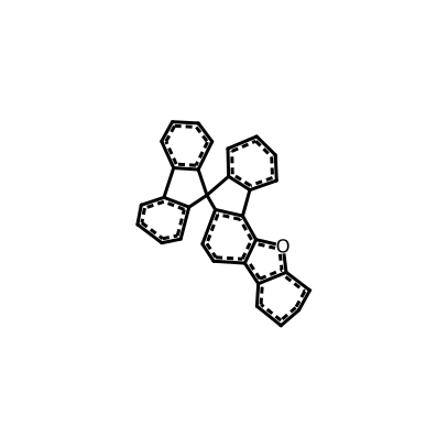 c1ccc2c(c1)-c1ccccc1C21c2ccccc2-c2c1ccc1c2oc2ccccc21